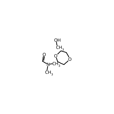 C1COCCO1.CN(C)C=O.CO